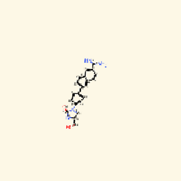 N=C(N)c1ccc2cc(-c3ccc(N4CC(CO)=NC4=O)cc3)ccc2c1